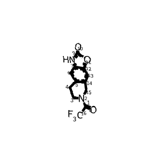 O=C(N1CCc2cc3[nH]c(=O)oc3cc2C1)C(F)(F)F